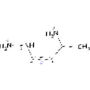 CC(N)/C=C\NN